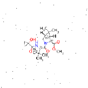 COC(=O)[C@@H]1[C@@H]2[C@H](CN1C(=O)[C@@H](NC(=O)C1(O)CC1)C(C)(C)C)C2(C)C